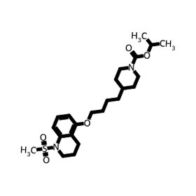 CC(C)OC(=O)N1CCC(CCCCOc2cccc3c2CCCN3S(C)(=O)=O)CC1